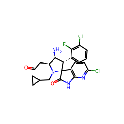 N[C@@H]1[C@H](CC=O)N(CC2CC2)[C@@]2(C(=O)Nc3nc(Cl)ccc32)[C@H]1c1cccc(Cl)c1F